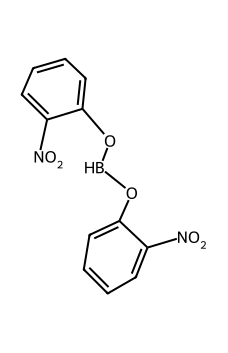 O=[N+]([O-])c1ccccc1OBOc1ccccc1[N+](=O)[O-]